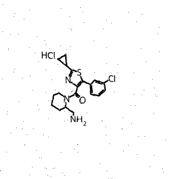 Cl.NCC1CCCCN1C(=O)c1nc(C2CC2)sc1-c1cccc(Cl)c1